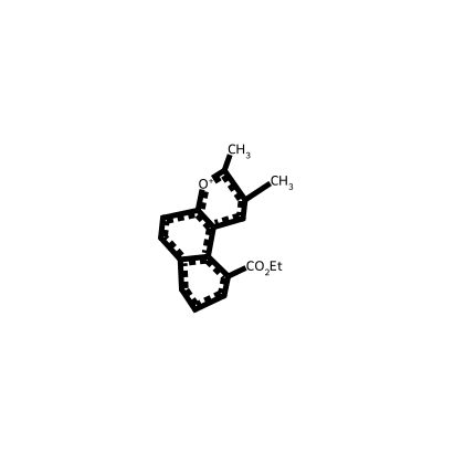 CCOC(=O)c1cccc2ccc3[o+]c(C)c(C)cc3c12